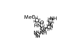 COc1ccc(C(=O)Nc2cc(Nc3cnccn3)nc(-c3ccnc(N4CCNCC4)c3)c2)cc1